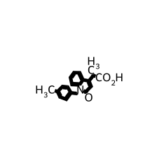 Cc1ccc(Cn2c(=O)cc(C(C)C(=O)O)c3ccccc32)cc1